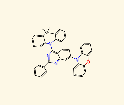 C[Si]1(C)c2ccccc2N(c2nc(-c3ccccc3)nc3cc(N4c5ccccc5Oc5ccccc54)ccc23)c2ccccc21